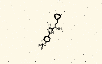 N[C@H](CCc1ccccc1)c1nc(-c2ccc(OC(F)(F)F)cc2)n[nH]1